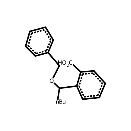 CCCCC(OCc1ccccc1)c1ccccc1C(=O)O